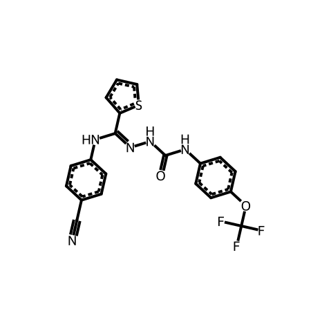 N#Cc1ccc(NC(=NNC(=O)Nc2ccc(OC(F)(F)F)cc2)c2cccs2)cc1